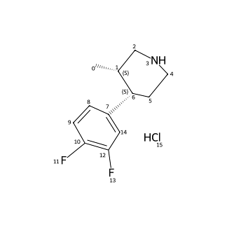 C[C@@H]1CNCC[C@@H]1c1ccc(F)c(F)c1.Cl